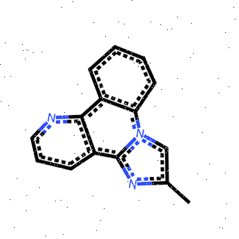 Cc1cn2c3ccccc3c3ncccc3c2n1